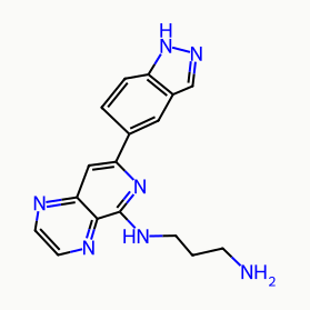 NCCCNc1nc(-c2ccc3[nH]ncc3c2)cc2nccnc12